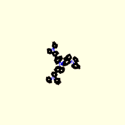 c1ccc(-n2c3ccccc3c3cc(-c4ccc(N(c5ccc(-c6ccc7c(c6)c6ccccc6n7-c6ccccc6)c6ccccc56)c5ccc(-n6c7ccccc7c7ccccc76)c6ccccc56)cc4)ccc32)cc1